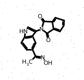 CC(=NO)c1ccc2[nH]cc(N3C(=O)c4ccccc4C3=O)c2c1